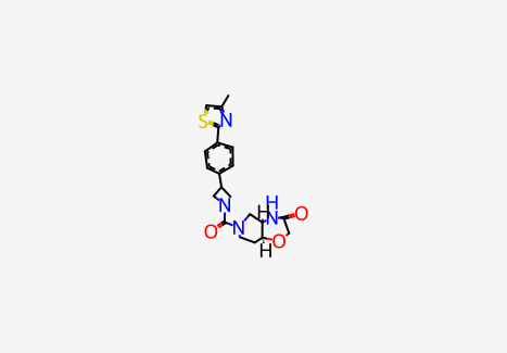 Cc1csc(-c2ccc(C3CN(C(=O)N4CC[C@@H]5OCC(=O)N[C@@H]5C4)C3)cc2)n1